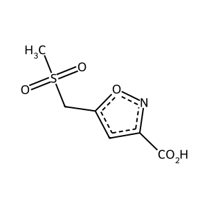 CS(=O)(=O)Cc1cc(C(=O)O)no1